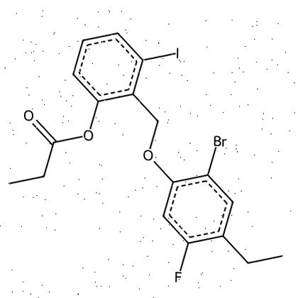 CCC(=O)Oc1cccc(I)c1COc1cc(F)c(CC)cc1Br